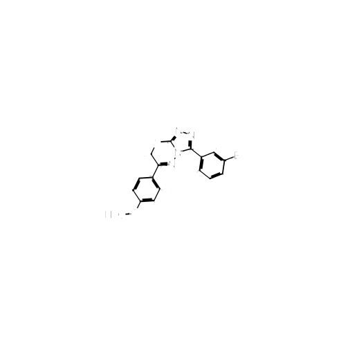 COc1ccc(C2=Nn3c(nnc3-c3cccc(Br)c3)SC2)cc1